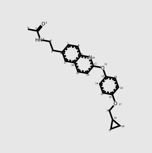 CC(=O)NCCc1ccc2nc(Oc3ccc(OCC4CC4)cc3)ccc2c1